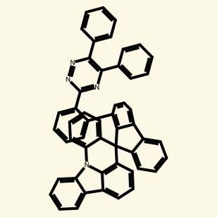 c1ccc(-c2nnc(-c3ccccc3-c3cccc4c3C3(c5ccccc5-4)c4ccccc4-n4c5ccccc5c5cccc3c54)nc2-c2ccccc2)cc1